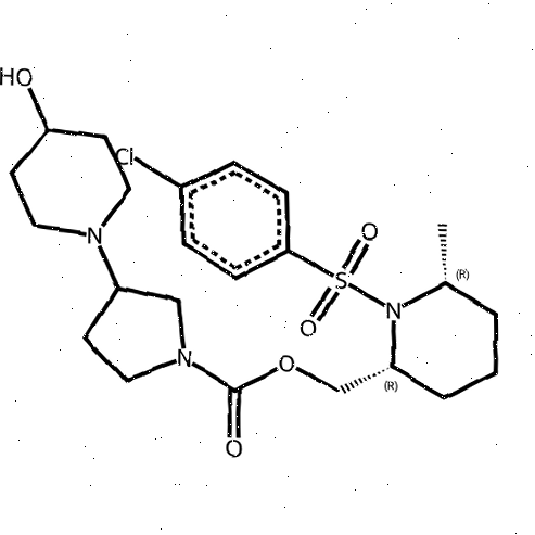 C[C@@H]1CCC[C@H](COC(=O)N2CCC(N3CCC(O)CC3)C2)N1S(=O)(=O)c1ccc(Cl)cc1